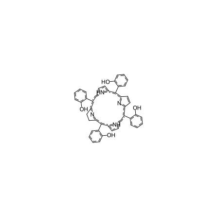 Oc1ccccc1-c1c2nc(c(-c3ccccc3O)c3ccc([nH]3)c(-c3ccccc3O)c3nc(c(-c4ccccc4O)c4ccc1[nH]4)CC3)C=C2